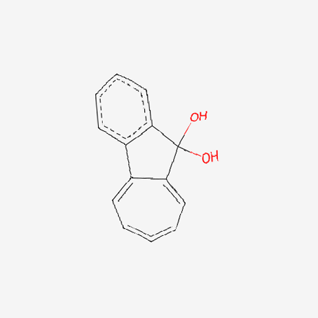 OC1(O)C2=CC=C=CC=C2c2ccccc21